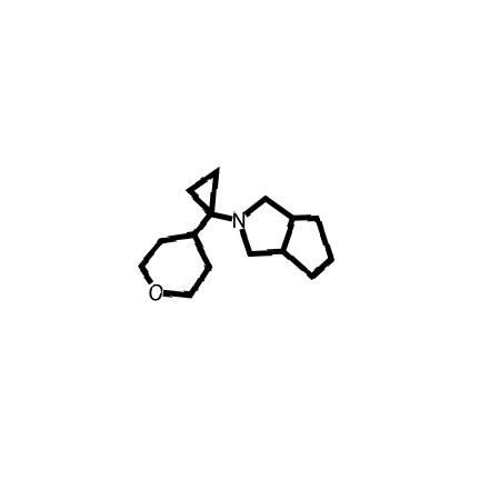 C1CC2CN(C3(C4CCOCC4)CC3)CC2C1